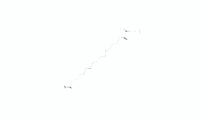 O=C(O)C(=O)CCCCCCCCCCCCCCCC(=O)C(=O)O